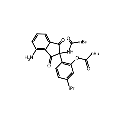 CCCCC(=O)NC1(c2ccc(C(C)C)cc2OC(=O)CCCC)C(=O)c2cccc(N)c2C1=O